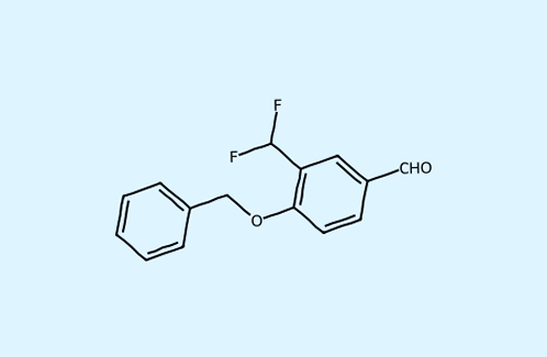 O=Cc1ccc(OCc2ccccc2)c(C(F)F)c1